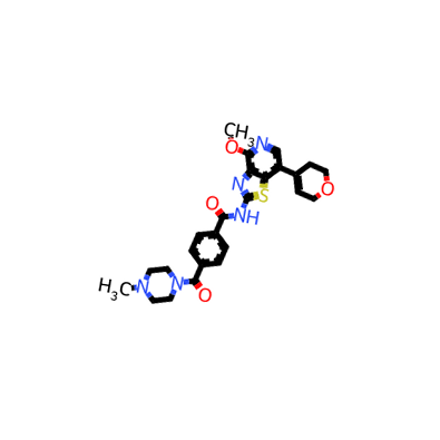 COc1ncc(C2=CCOCC2)c2sc(NC(=O)c3ccc(C(=O)N4CCN(C)CC4)cc3)nc12